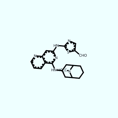 O=Cc1cnc(Nc2cc3ncccc3c(NC3CC4CCCC(C3)N4C(=O)O)n2)s1